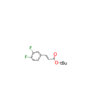 CC(C)(C)OC(=O)/C=C/c1ccc(F)c(F)c1